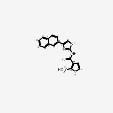 O=C(Nc1nc(-c2ccc3ccccc3c2)cs1)c1ccsc1C(=O)O